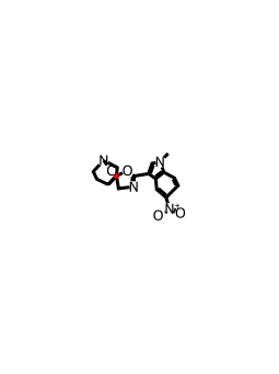 Cn1cc(C2=NCC3(CN4CCC3CC4)O2)c2cc([N+](=O)[O-])ccc21